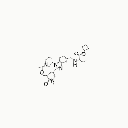 CCC(NCc1ccc2c(c1)nc(-c1cc(C)c(=O)n(C)c1)n2C1CCCN(C(C)=O)C1)C(=O)OC1CCC1